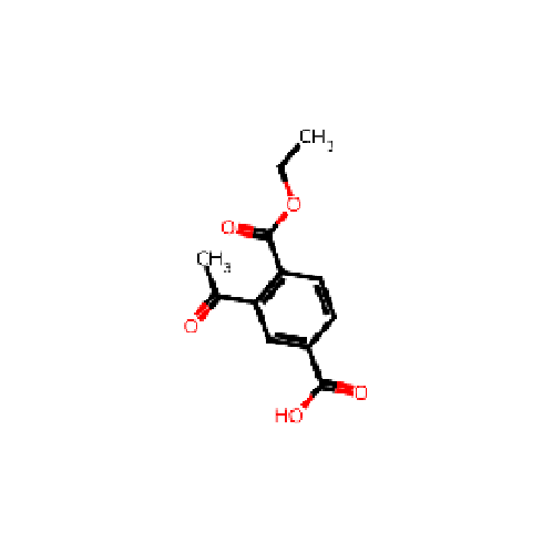 CCOC(=O)c1ccc(C(=O)O)cc1C(C)=O